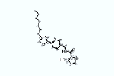 CCCCCCCc1noc(-c2ccc(CNC(=O)[C@H]3NCC[C@@H]3O)cc2)n1